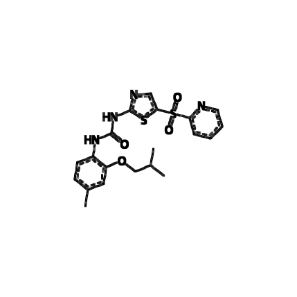 Cc1ccc(NC(=O)Nc2ncc(S(=O)(=O)c3ccccn3)s2)c(OCC(C)C)c1